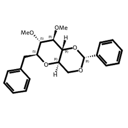 CO[C@@H]1[C@@H](OC)[C@H](Cc2ccccc2)O[C@@H]2CO[C@@H](c3ccccc3)O[C@@H]12